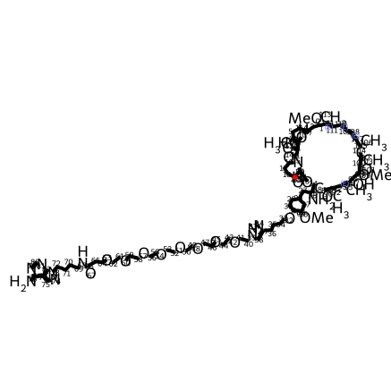 COC1C[C@@H]2CC[C@@H](C)[C@@](O)(O2)C(=O)C(=O)N2CCCC[C@H]2C(=O)OC(C(N)CC2CCC(OCCCCc3cn(CCOCCOCCOCCOCCOCCOCCOCCOCCC(=O)NCCCCn4ncc5c(N)ncnc54)nn3)[C@H](OC)C2)CC(=O)C(C)/C=C(\C)C(O)[C@@H](OC)C(=O)C(C)CC(C)/C=C/C=C/C=C/1C